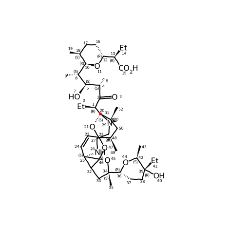 CC[C@@H](C(=O)[C@@H](C)[C@@H](O)[C@H](C)[C@@H]1O[C@@H]([C@@H](CC)C(=O)O)CC[C@@H]1C)[C@H]1OC2(C=C[C@]3(NCCN(C)C)C4C[C@@](C)([C@H]5CC[C@](O)(CC)[C@H](C)O5)O[C@]43O2)[C@H](C)C[C@@H]1C